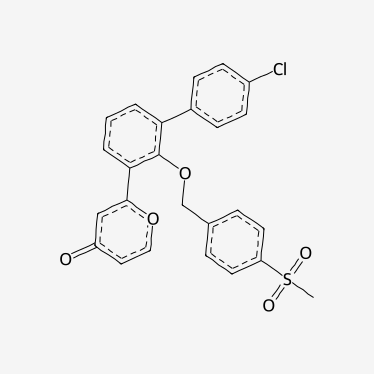 CS(=O)(=O)c1ccc(COc2c(-c3ccc(Cl)cc3)cccc2-c2cc(=O)cco2)cc1